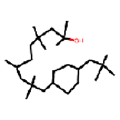 CC(CCC(C)(C)CC(C)(C)O)CC(C)(C)CC1CCC(CC(C)(C)C)CC1